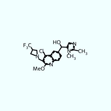 COc1nc2ccc(C(O)c3cnc(C)n3C)cc2c(Cl)c1CN1CC(C(F)(F)F)C1